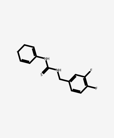 Fc1ccc(CNC(=S)NC2=CC[CH]C=C2)cc1F